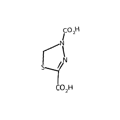 O=C(O)C1=NN(C(=O)O)CS1